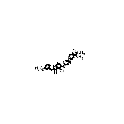 COc1cccc(Cc2nc3ccc(Sc4cnc(N5CCC6(CC5)CO[C@@H](C)[C@H]6N)cn4)c(Cl)c3[nH]2)c1